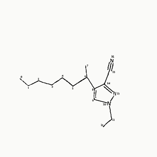 CCCCCCC(C)c1cn(CC)nc1C#N